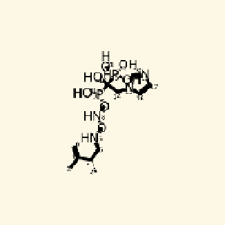 C=C(C)[C@@H](C)CNONO[P@@](O)C(O)(Cn1ccnc1)[PH](O)(O)O